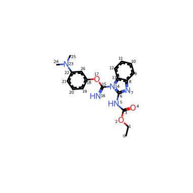 CCOC(=O)Nc1nc2ccccc2n1C(=N)Oc1cccc(N(C)C)c1